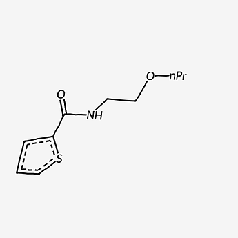 CCCOCCNC(=O)c1cccs1